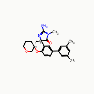 Cc1cc(C)cc(-c2ccc3c(c2)[C@]2(C[C@]4(CCCOC4)O3)N=C(N)N(C)C2=O)c1